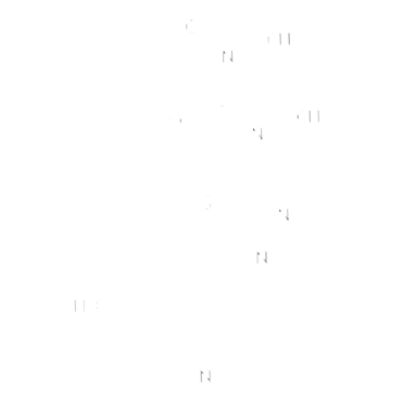 CCC(C#N)c1nnc(N(C)C(=O)N(C)C)s1